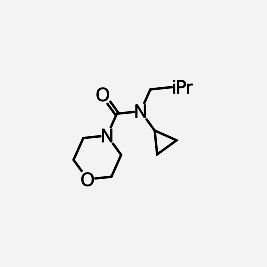 CC(C)CN(C(=O)N1CCOCC1)C1CC1